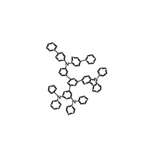 c1ccc(-c2ccc(N(c3ccc(-c4ccccc4)cc3)c3cccc(-c4cc(-c5cc(N(c6ccccc6)c6ccccc6)cc(N(c6ccccc6)c6ccccc6)c5)cc(-c5ccc6c(c5)c5ccccc5n6-c5ccccc5)c4)c3)cc2)cc1